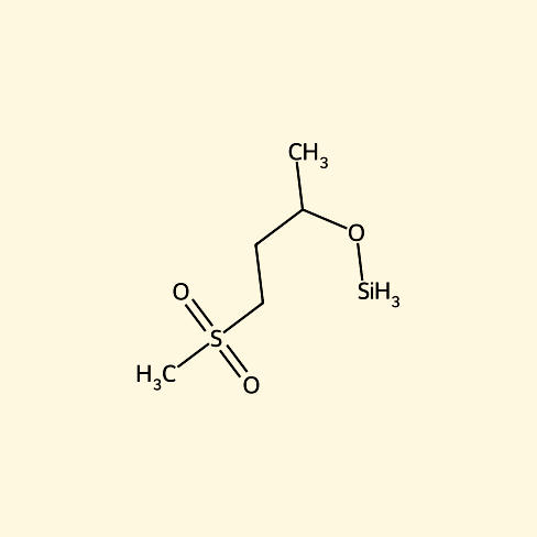 CC(CCS(C)(=O)=O)O[SiH3]